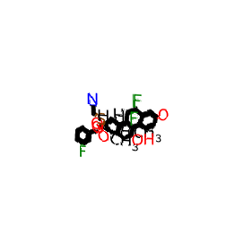 C[C@]12C=CC(=O)C=C1[C@@H](F)C[C@H]1[C@@H]3C[C@H]4OC(c5cccc(F)c5)O[C@@]4(C(=O)SCC#N)[C@@]3(C)C[C@H](O)[C@@]12F